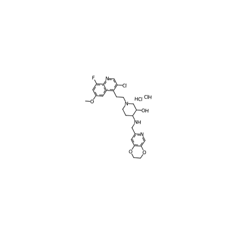 COc1cc(F)c2ncc(Cl)c(CCN3CCC(NCc4cc5c(cn4)OCCO5)C(O)C3)c2c1.Cl.Cl